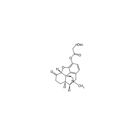 CCCCCCCCCCCC(=O)Oc1ccc2c3c1O[C@H]1C(=O)CC[C@H]4[C@@H](C2)N(C)CC[C@]314